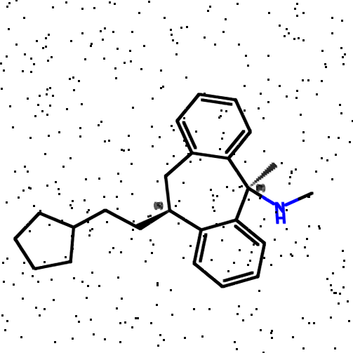 CN[C@]1(C)c2ccccc2C[C@H](CCC2CCCC2)c2ccccc21